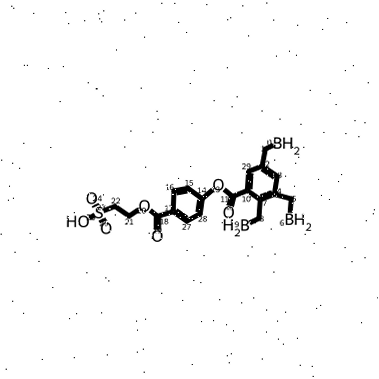 BCc1cc(CB)c(CB)c(C(=O)Oc2ccc(C(=O)OCCS(=O)(=O)O)cc2)c1